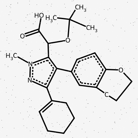 Cn1nc(C2=CCCCC2)c(-c2ccc3c(c2)CCCO3)c1C(OC(C)(C)C)C(=O)O